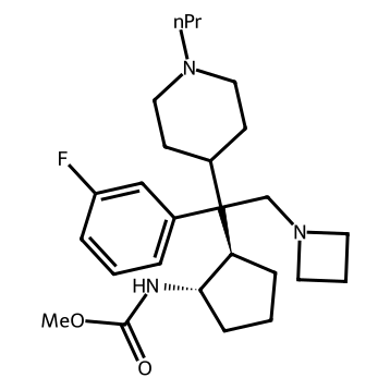 CCCN1CCC(C(CN2CCC2)(c2cccc(F)c2)[C@H]2CCC[C@@H]2NC(=O)OC)CC1